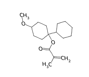 C=C(C)C(=O)OC1(C2CCCCC2)CCC(OC)CC1